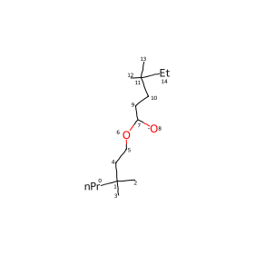 CCCC(C)(C)CCOC([O])CCC(C)(C)CC